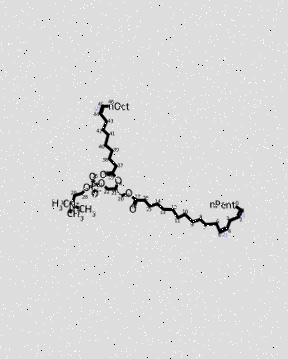 CCCCC/C=C\C/C=C\CCCCCCCCCCCC(=O)OC[C@H](COP(=O)([O-])OCC[N+](C)(C)C)OC(=O)CCCCCCC/C=C\CCCCCCCC